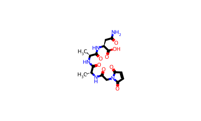 C[C@@H](NC(=O)CN1C(=O)C=CC1=O)C(=O)N[C@H](C)C(=O)N[C@@H](CC(N)=O)C(=O)O